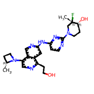 C[C@@H]1CCN1c1cnc(CCO)c2cc(Nc3ccnc(N4CC[C@@H](O)[C@@](C)(F)C4)n3)ncc12